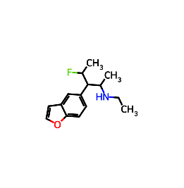 CCNC(C)C(c1ccc2occc2c1)C(C)F